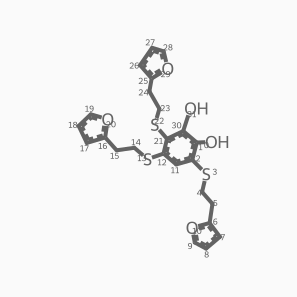 Oc1c(SCCc2ccco2)cc(SCCc2ccco2)c(SCCc2ccco2)c1O